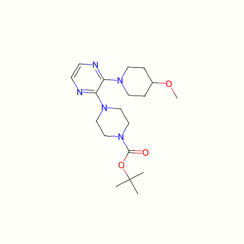 COC1CCN(c2nccnc2N2CCN(C(=O)OC(C)(C)C)CC2)CC1